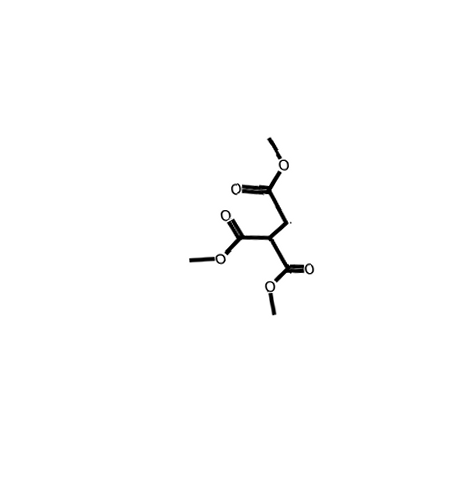 COC(=O)[CH]C(C(=O)OC)C(=O)OC